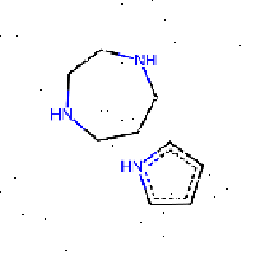 C1CNCCNC1.c1cc[nH]c1